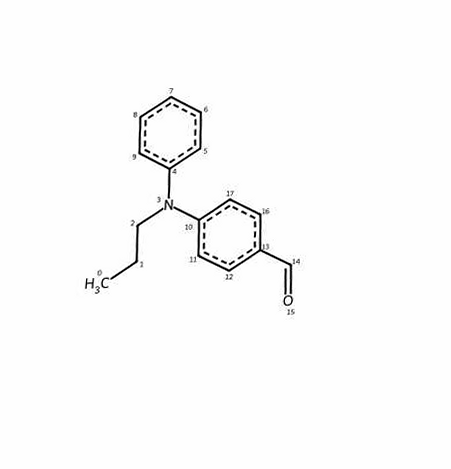 CCCN(c1ccccc1)c1ccc(C=O)cc1